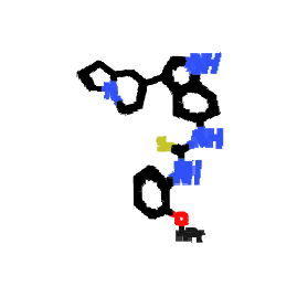 CCCOc1ccccc1NC(=S)Nc1ccc2[nH]cc(C3=CCN4CCCC4C3)c2c1